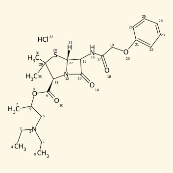 CCN(CC)CC(C)OC(=O)[C@@H]1N2C(=O)C(NC(=O)COc3ccccc3)[C@H]2SC1(C)C.Cl